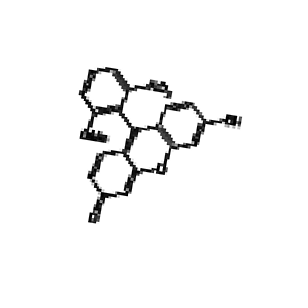 COc1cccc([N+](=O)[O-])c1-c1c2ccc(=O)cc-2oc2cc(O)ccc12